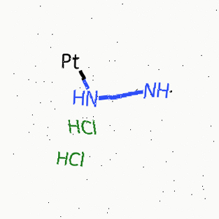 Cl.Cl.[NH][NH][Pt]